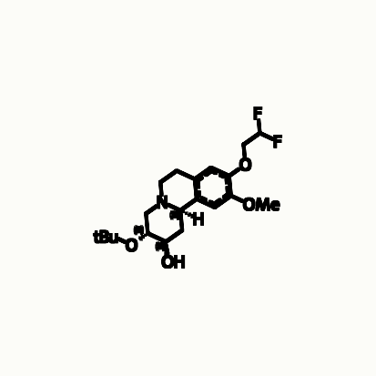 COc1cc2c(cc1OCC(F)F)CCN1C[C@@H](OC(C)(C)C)[C@H](O)C[C@H]21